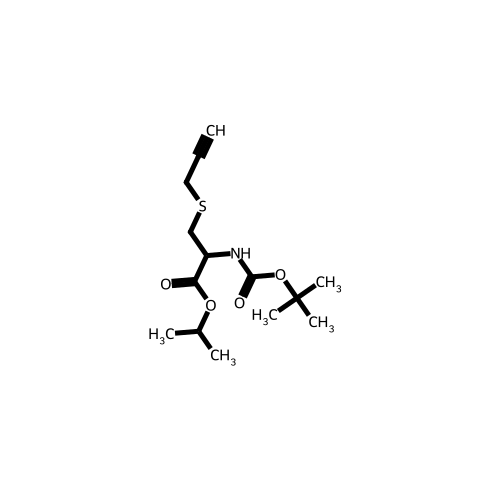 C#CCSCC(NC(=O)OC(C)(C)C)C(=O)OC(C)C